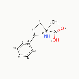 CC1(C(=O)O)CCC(c2ccccc2)N1